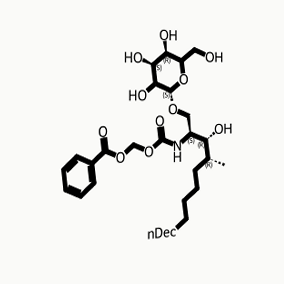 CCCCCCCCCCCCCC[C@@H](C)[C@@H](O)[C@H](CO[C@H]1OC(CO)[C@H](O)[C@H](O)C1O)NC(=O)OCOC(=O)c1ccccc1